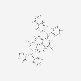 CC1=CC(N(c2ccccc2)c2ccccc2)C2=CCc3c(C)cc(N(c4ccccc4)c4ccc5ccccc5n4)c4ccc1c2c34